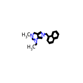 CCN1CN(C)Cc2cn(Cc3cccc4ccccc34)cc21